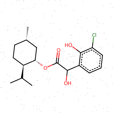 CC(C)[C@H]1CC[C@H](C)C[C@@H]1OC(=O)C(O)c1cccc(Cl)c1O